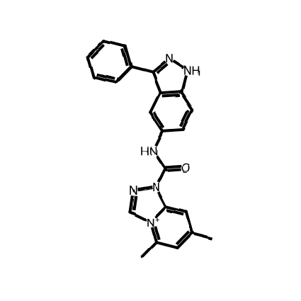 Cc1cc(C)[n+]2cnn(C(=O)Nc3ccc4[nH]nc(-c5ccccc5)c4c3)c2c1